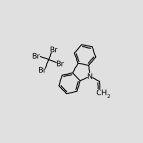 BrC(Br)(Br)Br.C=Cn1c2ccccc2c2ccccc21